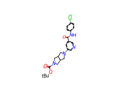 CC(C)(C)OC(=O)N1CC2CN(c3cncc(C(=O)Nc4ccc(Cl)cc4)c3)CC2C1